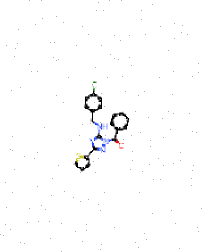 O=C(c1ccccc1)n1nc(-c2cccs2)nc1NCc1ccc(Cl)cc1